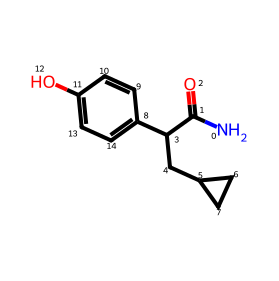 NC(=O)C(CC1CC1)c1ccc(O)cc1